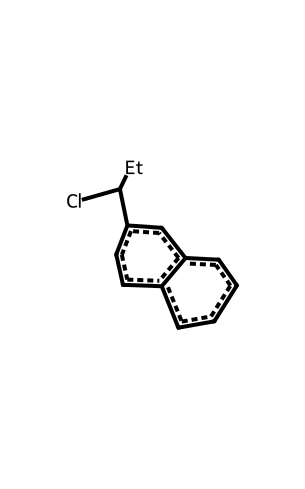 CCC(Cl)c1ccc2ccccc2c1